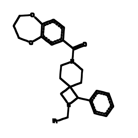 CC(C)CN1CC2(CCN(C(=O)c3ccc4c(c3)OCCCO4)CC2)C1c1ccccc1